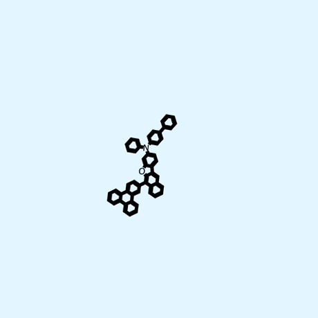 c1ccc(-c2ccc(N(c3ccccc3)c3ccc4c(c3)oc3c(-c5ccc6c7ccccc7c7ccccc7c6c5)c5ccccc5cc34)cc2)cc1